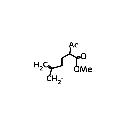 [CH2]C(=C)CCC(C(C)=O)C(=O)OC